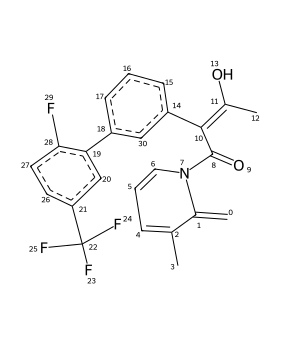 C=C1C(C)=CC=CN1C(=O)/C(=C(\C)O)c1cccc(-c2cc(C(F)(F)F)ccc2F)c1